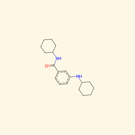 O=C(NC1CCCCC1)c1cc[c]c(NC2CCCCC2)c1